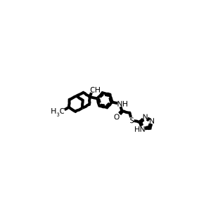 CC1CC2CC(C1)CC(C)(c1ccc(NC(=O)CSc3nnc[nH]3)cc1)C2